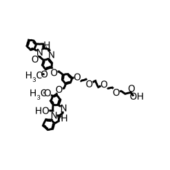 COc1cc2c(cc1OCc1cc(COc3cc4c(cc3OC)C(O)N3c5ccccc5C[C@H]3C=N4)cc(OCCOCCOCCOCCC(=O)O)c1)N=C[C@@H]1Cc3ccccc3N1C2=O